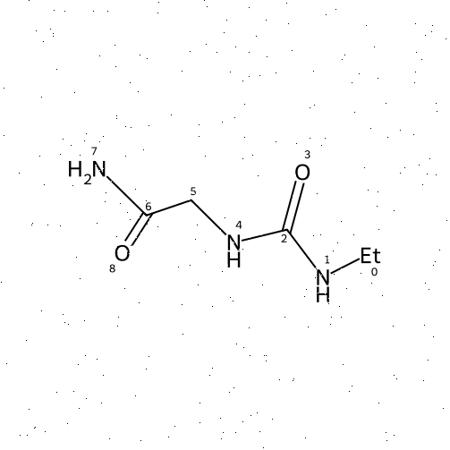 CCNC(=O)NCC(N)=O